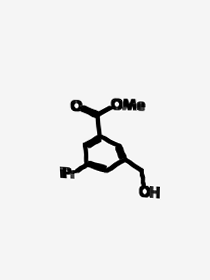 COC(=O)c1cc(CO)cc(C(C)C)c1